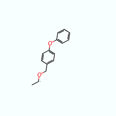 C[CH]OCc1ccc(Oc2ccccc2)cc1